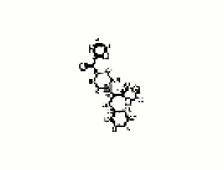 O=C(c1ncco1)C1CCN(C(Cc2ccccc2)C2=COCO2)CC1